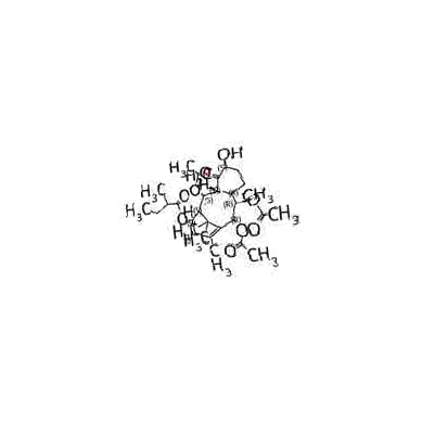 C=C1[C@@H](O)CC[C@@]2(C)[C@@H](OC(C)=O)[C@H](OC(C)=O)C3=C(C)C[C@H](OC(=O)C(C)CC)[C@@H]([C@@H](OC(C)=O)[C@H]12)C3(C)C